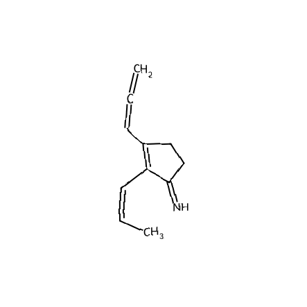 C=C=CC1=C(/C=C\C)C(=N)CC1